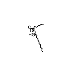 CCCCCCCCCCC[C@H](O)C[C@@H]1OC(=O)[C@H]1CCCCCC